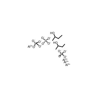 CCC(C)O.CCC(C)O.[Al+3].[Al+3].[Al+3].[Al+3].[O-][Si]([O-])([O-])[O-].[O-][Si]([O-])([O-])[O-].[O-][Si]([O-])([O-])[O-]